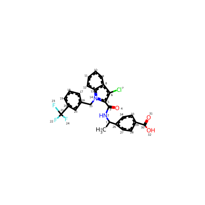 CC(NC(=O)c1c(Cl)c2ccccc2n1Cc1cccc(C(F)(F)F)c1)c1ccc(C(=O)O)cc1